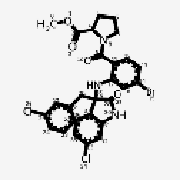 COC(=O)C1CCCN1C(=O)c1ccc(Br)cc1NC1(Cc2cccc(Cl)c2)C(=O)Nc2cc(Cl)ccc21